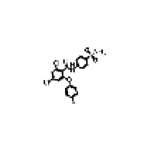 NS(=O)(=O)c1ccc(NC(=O)c2c(Cl)cc(Cl)cc2Oc2ccc(F)cc2)cc1